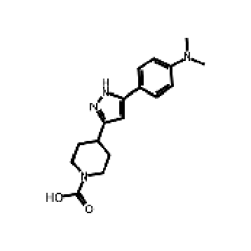 CN(C)c1ccc(-c2cc(C3CCN(C(=O)O)CC3)n[nH]2)cc1